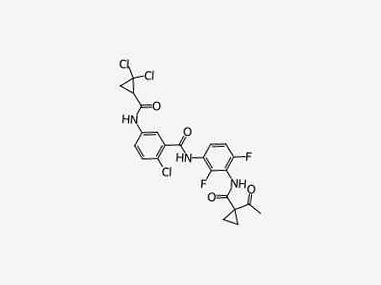 CC(=O)C1(C(=O)Nc2c(F)ccc(NC(=O)c3cc(NC(=O)C4CC4(Cl)Cl)ccc3Cl)c2F)CC1